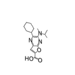 CC(C)N(C)c1nc2oc(C(=O)O)cc2nc1C1CCCCC1